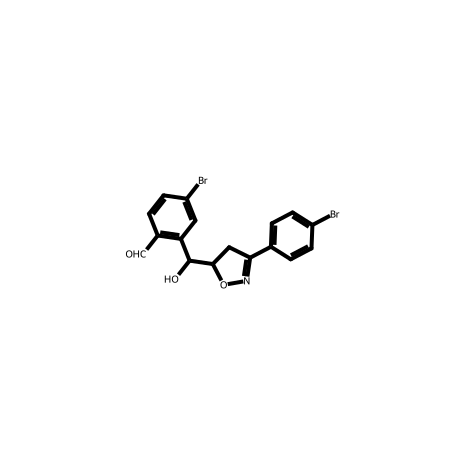 O=Cc1ccc(Br)cc1C(O)C1CC(c2ccc(Br)cc2)=NO1